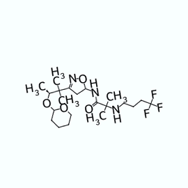 C[C@H](OC1CCCCO1)C(C)(C)C1=NOC(NC(=O)C(C)(C)NCCCC(F)(F)F)C1